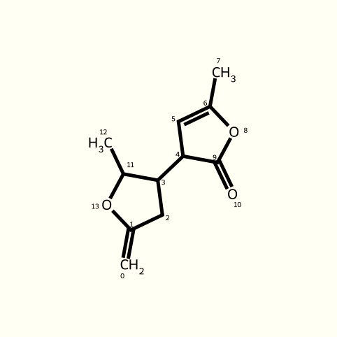 C=C1CC(C2C=C(C)OC2=O)C(C)O1